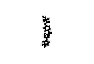 CCS(=O)(=O)NC[C@H]1CC[C@H](Nc2nc(C3CCC(F)(F)C3)no2)CC1